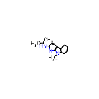 CC(C)Nc1ccc2c3c(n(C)c2n1)CCCC3